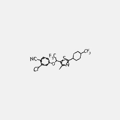 Cc1nc(C2CCC(C(F)(F)F)CC2)sc1C(Oc1ccc(C#N)c(Cl)c1)C(F)(F)F